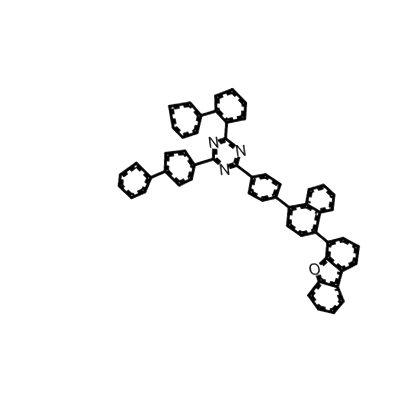 c1ccc(-c2ccc(-c3nc(-c4ccc(-c5ccc(-c6cccc7c6oc6ccccc67)c6ccccc56)cc4)nc(-c4ccccc4-c4ccccc4)n3)cc2)cc1